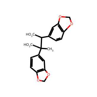 CC(C(=O)O)(c1ccc2c(c1)OCO2)C(C(=O)O)c1ccc2c(c1)OCO2